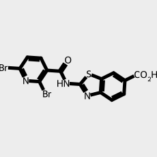 O=C(O)c1ccc2nc(NC(=O)c3ccc(Br)nc3Br)sc2c1